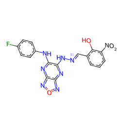 O=[N+]([O-])c1cccc(/C=N/Nc2nc3nonc3nc2Nc2ccc(F)cc2)c1O